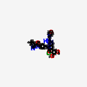 COc1cc(OC)c(Cl)c(-c2cc3cnc(NCCN4CCOCC4)nc3n(CCc3ccc(NC(=O)C(C#N)=CC(C)(C)C)cc3)c2=O)c1